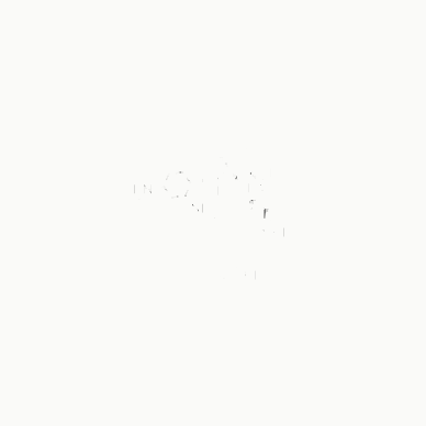 CC(C)CCC[C@@H](C)[C@H]1CC[C@H]2[C@@H]3CCC4CCCC(Oc5ccc(N)cc5N)[C@]4(C)[C@H]3CC[C@]12C